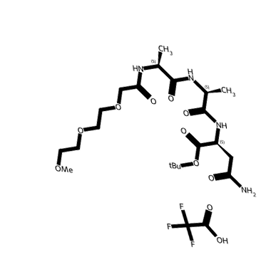 COCCOCCOCC(=O)N[C@@H](C)C(=O)N[C@@H](C)C(=O)N[C@@H](CC(N)=O)C(=O)OC(C)(C)C.O=C(O)C(F)(F)F